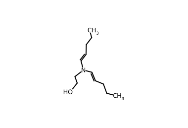 CCCC=CN(C=CCCC)CCO